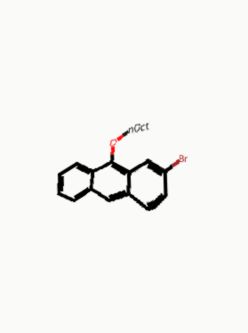 CCCCCCCCOc1c2ccccc2cc2ccc(Br)cc12